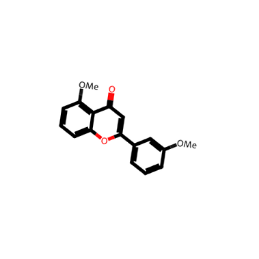 COc1cccc(-c2cc(=O)c3c(OC)cccc3o2)c1